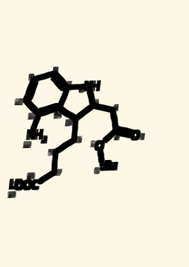 CC(C)(C)OC(=O)CC1Nc2cccc(N)c2C1CCCC(=O)[O-].[Li+]